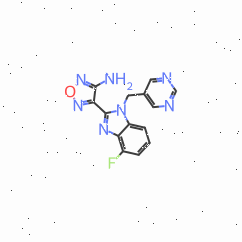 Nc1nonc1-c1nc2c(F)cccc2n1Cc1cncnc1